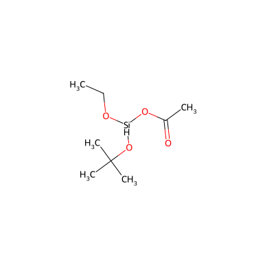 CCO[SiH](OC(C)=O)OC(C)(C)C